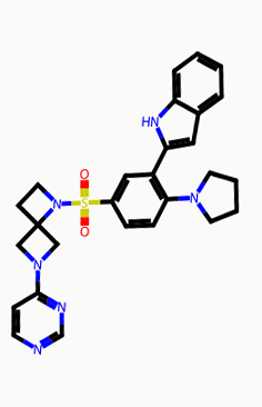 O=S(=O)(c1ccc(N2CCCC2)c(-c2cc3ccccc3[nH]2)c1)N1CCC12CN(c1ccncn1)C2